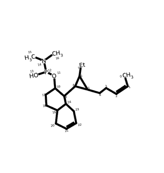 C/C=C\CCC1C(CC)C1C1C(OP(O)N(C)C)CCC2CC=CCC21